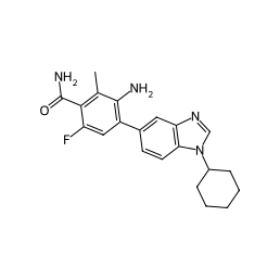 Cc1c(N)c(-c2ccc3c(c2)ncn3C2CCCCC2)cc(F)c1C(N)=O